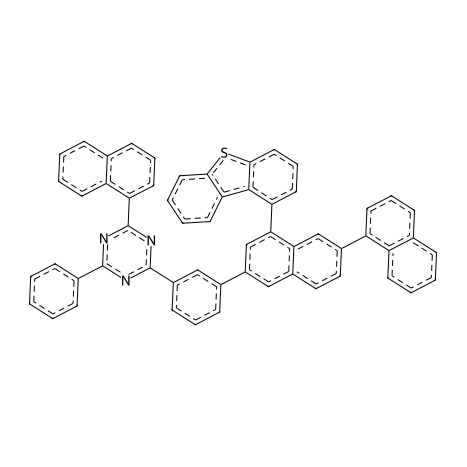 c1ccc(-c2nc(-c3cccc(-c4cc(-c5cccc6sc7ccccc7c56)c5cc(-c6cccc7ccccc67)ccc5c4)c3)nc(-c3cccc4ccccc34)n2)cc1